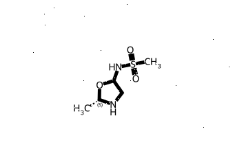 C[C@H]1NCC(NS(C)(=O)=O)O1